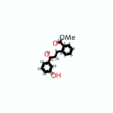 COC(=O)c1ccccc1CCC(=O)c1cccc(O)c1